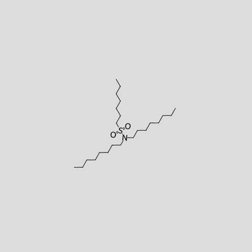 CCCCCCCCN(CCCCCCCC)S(=O)(=O)CCCCCCC